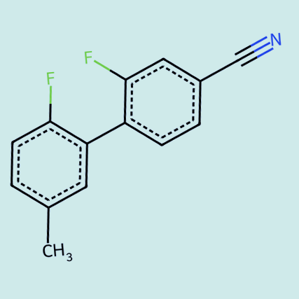 Cc1ccc(F)c(-c2ccc(C#N)cc2F)c1